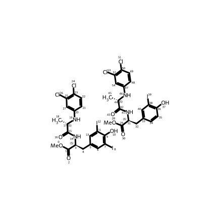 COC(=O)[C@H](Cc1cc(I)c(O)c(I)c1)NC(=O)[C@H](C)Nc1ccc(Cl)c(Cl)c1.COC(=O)[C@H](Cc1ccc(O)c(I)c1)NC(=O)[C@H](C)Nc1ccc(Cl)c(Cl)c1